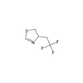 FC(F)(F)CC1[C]S[C]=N1